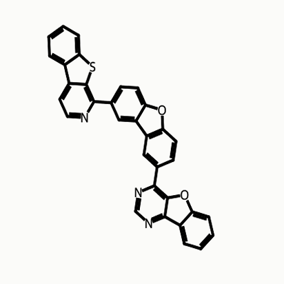 c1ccc2c(c1)oc1c(-c3ccc4oc5ccc(-c6nccc7c6sc6ccccc67)cc5c4c3)ncnc12